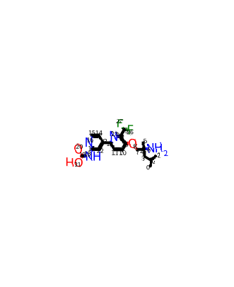 CC(C)CC(C)(N)COc1ccc(-c2ccnc(NC(=O)O)c2)nc1C(F)F